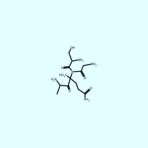 CC(N)C(=O)C(CCC(N)=O)(C(=O)O)N(C(=O)CN)C(=O)C(N)CO